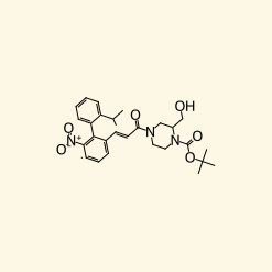 CC(C)c1ccccc1-c1c([N+](=O)[O-])[c]ccc1/C=C/C(=O)N1CCN(C(=O)OC(C)(C)C)C(CO)C1